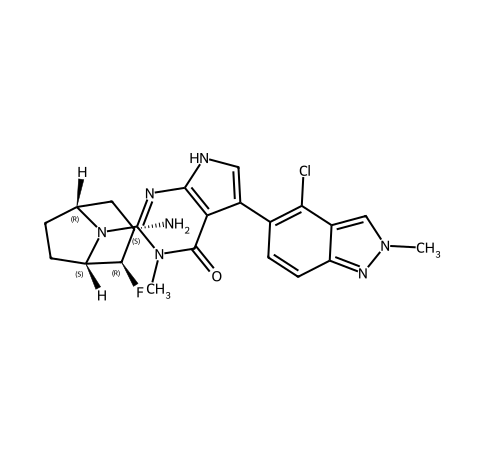 Cn1cc2c(Cl)c(-c3c[nH]c4nc(N5[C@@H]6CC[C@H]5[C@H](F)[C@@H](N)C6)n(C)c(=O)c34)ccc2n1